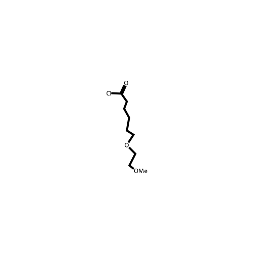 COCCOCCCCCC(=O)Cl